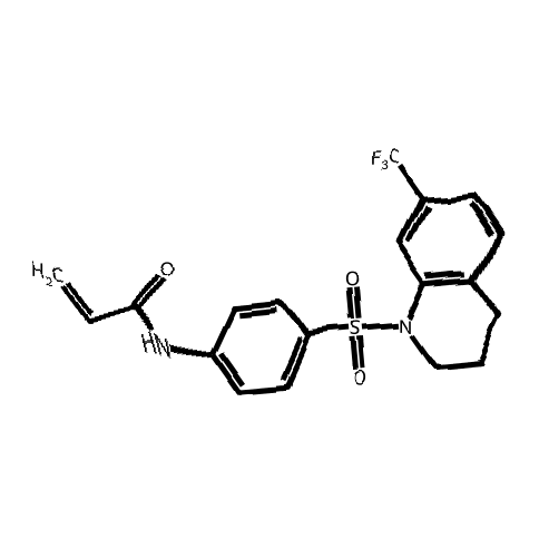 C=CC(=O)Nc1ccc(S(=O)(=O)N2CCCc3ccc(C(F)(F)F)cc32)cc1